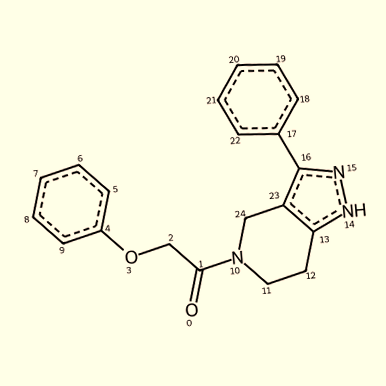 O=C(COc1ccccc1)N1CCc2[nH]nc(-c3ccccc3)c2C1